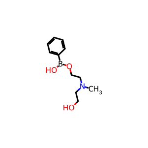 CN(CCO)CCOB(O)c1ccccc1